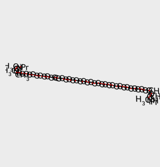 CC(C)NCC(C)OCC(C)OCC(C)OCCOCCOCCOCCOCCOCCOCCOCCOCCOCCOCCOCCOCCOCCOCCOCCOCCOCCOCCOCCOCCOCCOCCOCCOCCOCCOCCOCCOCCOCCOCCOCCOCCOCCOCCOCCOC(C)COC(C)COCC(C)NC(C)C